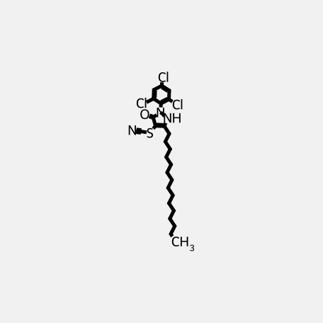 CCCCCCCCCCCCCCCc1[nH]n(-c2c(Cl)cc(Cl)cc2Cl)c(=O)c1SC#N